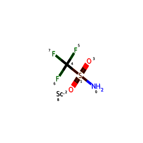 NS(=O)(=O)C(F)(F)F.[Sc]